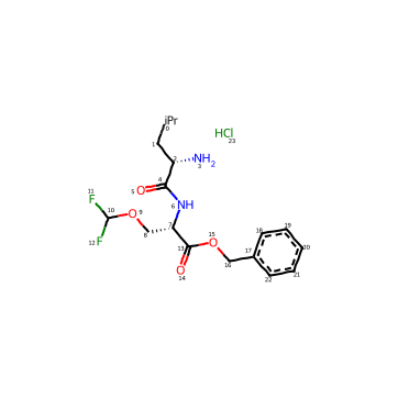 CC(C)C[C@H](N)C(=O)N[C@@H](COC(F)F)C(=O)OCc1ccccc1.Cl